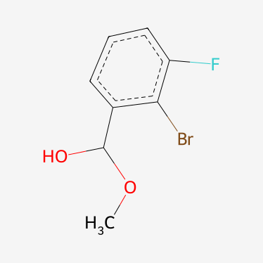 COC(O)c1cccc(F)c1Br